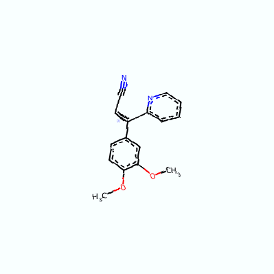 COc1ccc(/C(=C/C#N)c2ccccn2)cc1OC